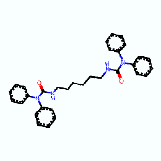 O=C(NCCCCCCNC(=O)N(c1ccccc1)c1ccccc1)N(c1ccccc1)c1ccccc1